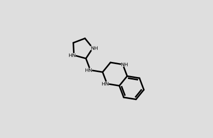 c1ccc2c(c1)NCC(NC1NCCN1)N2